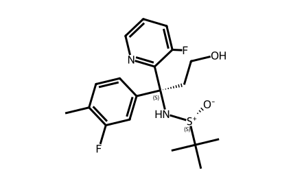 Cc1ccc([C@](CCO)(N[S@+]([O-])C(C)(C)C)c2ncccc2F)cc1F